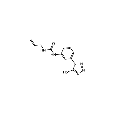 C=CCNC(=O)Nc1cccc(-n2nnnc2S)c1